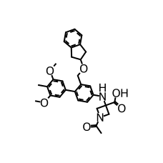 COc1cc(-c2ccc(NC3(C(=O)O)CN(C(C)=O)C3)cc2COC2Cc3ccccc3C2)cc(OC)c1C